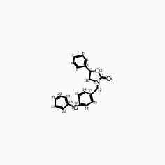 O=C1OC(c2ccccc2)CN1Cc1ccc(Oc2ccccc2)cc1